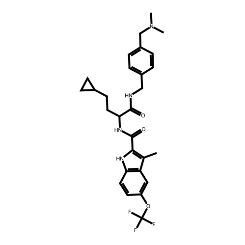 Cc1c(C(=O)NC(CCC2CC2)C(=O)NCc2ccc(CN(C)C)cc2)[nH]c2ccc(OC(F)(F)F)cc12